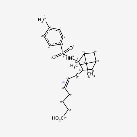 Cc1ccc(S(=O)(=O)NC2C(C/C=C\CCCC(=O)O)CC3CC2C3(C)C)cc1